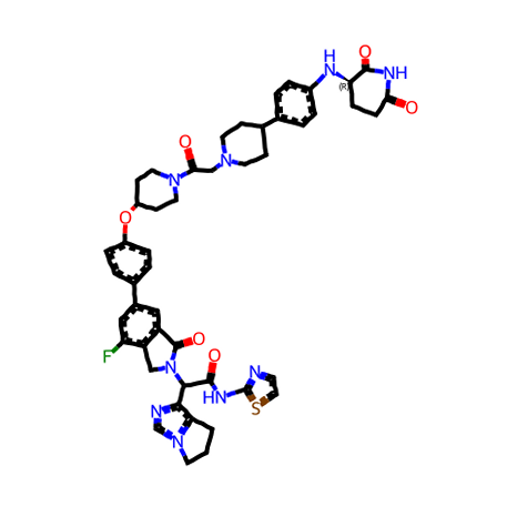 O=C1CC[C@@H](Nc2ccc(C3CCN(CC(=O)N4CCC(Oc5ccc(-c6cc(F)c7c(c6)C(=O)N(C(C(=O)Nc6nccs6)c6ncn8c6CCC8)C7)cc5)CC4)CC3)cc2)C(=O)N1